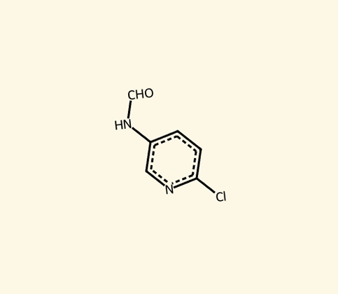 O=CNc1ccc(Cl)nc1